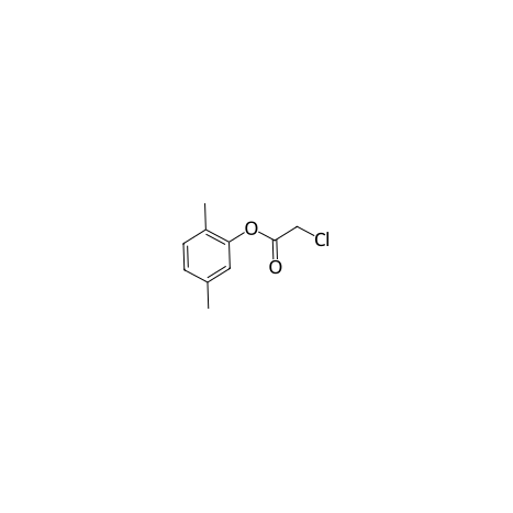 Cc1ccc(C)c(OC(=O)CCl)c1